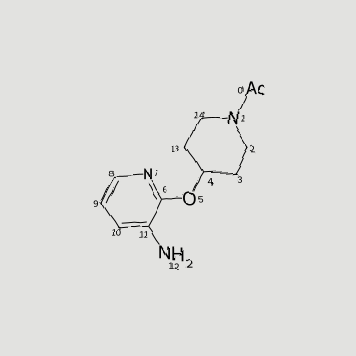 CC(=O)N1CCC(Oc2ncccc2N)CC1